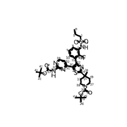 CCCS(=O)(=O)Nc1cccc(-c2nc(C3(C)CCN(C(=O)OC(C)(C)C)CC3)sc2-c2ccnc(NC(=O)OC(C)(C)C)n2)c1F